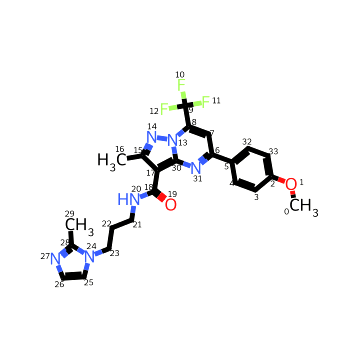 COc1ccc(-c2cc(C(F)(F)F)n3nc(C)c(C(=O)NCCCn4ccnc4C)c3n2)cc1